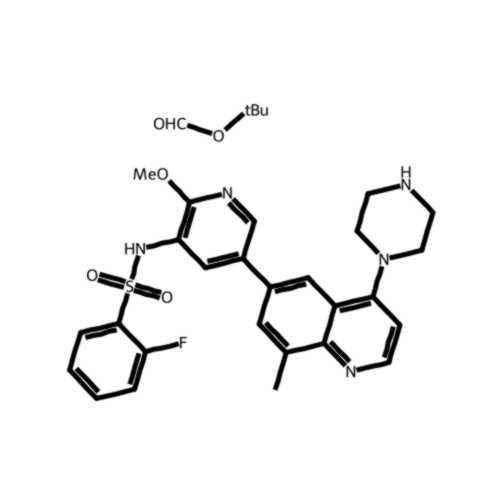 CC(C)(C)OC=O.COc1ncc(-c2cc(C)c3nccc(N4CCNCC4)c3c2)cc1NS(=O)(=O)c1ccccc1F